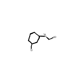 CCC1CCCC(NCN=O)C1